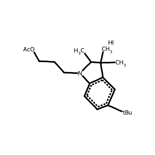 CC(=O)OCCCN1c2ccc(C(C)(C)C)cc2C(C)(C)C1C.I